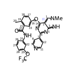 CN/C=C1\C(=N)N=C(c2ccncc2)N=C1Oc1ccc(C)c(C(=O)Nc2cccc(OC(F)(F)F)c2)c1